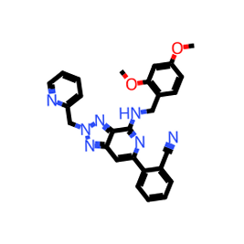 COc1ccc(CNc2nc(-c3ccccc3C#N)cc3nn(Cc4ccccn4)nc23)c(OC)c1